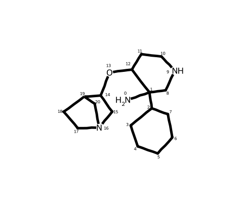 NC1(C2CCCCC2)CNCCC1OC1CN2CCC1C2